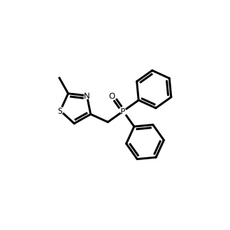 Cc1nc(CP(=O)(c2ccccc2)c2ccccc2)cs1